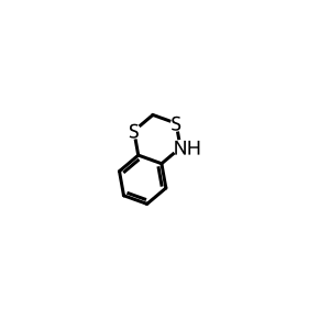 c1ccc2c(c1)NSCS2